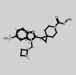 CC(C)(C)OC(=O)N1CCC2(CC1)CC2c1nc2ccc(C(=O)O)cc2n1C[C@@H]1CCO1